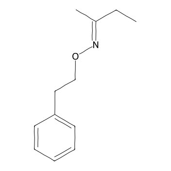 CC/C(C)=N/OCCc1ccccc1